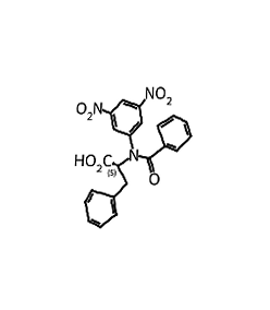 O=C(O)[C@H](Cc1ccccc1)N(C(=O)c1ccccc1)c1cc([N+](=O)[O-])cc([N+](=O)[O-])c1